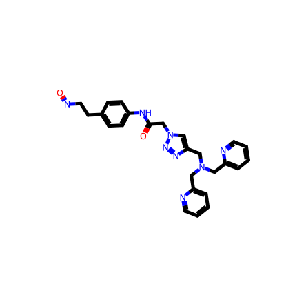 O=NCCc1ccc(NC(=O)Cn2cc(CN(Cc3ccccn3)Cc3ccccn3)nn2)cc1